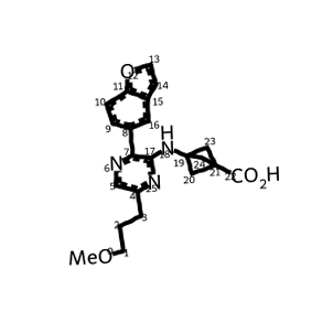 COCCCc1cnc(-c2ccc3occc3c2)c(NC23CC(C(=O)O)(C2)C3)n1